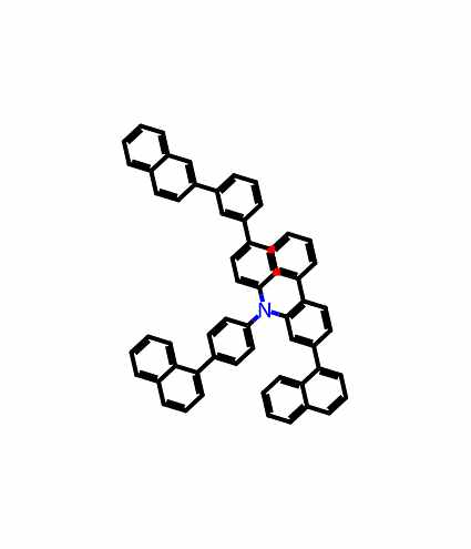 c1ccc(-c2ccc(-c3cccc4ccccc34)cc2N(c2ccc(-c3cccc(-c4ccc5ccccc5c4)c3)cc2)c2ccc(-c3cccc4ccccc34)cc2)cc1